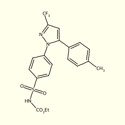 CCOC(=O)NS(=O)(=O)c1ccc(-n2nc(C(F)(F)F)cc2-c2ccc(C)cc2)cc1